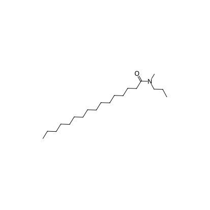 CCCCCCCCCCCCCCCC(=O)N(C)CCC